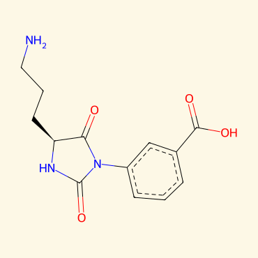 NCCC[C@@H]1NC(=O)N(c2cccc(C(=O)O)c2)C1=O